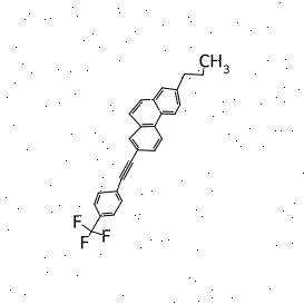 CCCc1ccc2c(ccc3cc(C#Cc4ccc(C(F)(F)F)cc4)ccc32)c1